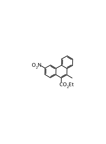 CCOC(=O)c1c(C)c2ccccc2c2cc([N+](=O)[O-])ccc12